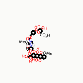 COc1cccc2c1C(=O)c1c(O)c3c(c(O)c1C2=O)C[C@@](O)(C(=O)CO)C[C@@H]3O[C@H]1C[C@H]2[C@H](O[C@@H]3[C@@H](OC)N(C(=O)OCc4ccc(O[C@@H]5O[C@H](C(=O)O)C[C@H](O)[C@H]5O)cc4)CCN32)[C@H](C)O1